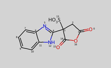 O=C1CC(c2nc3ccccc3[nH]2)(S(=O)(=O)O)C(=O)O1